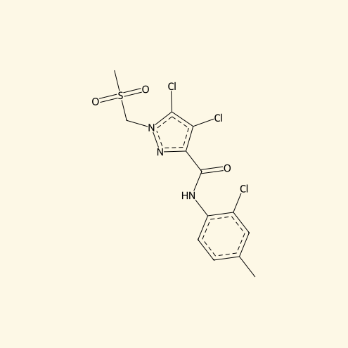 Cc1ccc(NC(=O)c2nn(CS(C)(=O)=O)c(Cl)c2Cl)c(Cl)c1